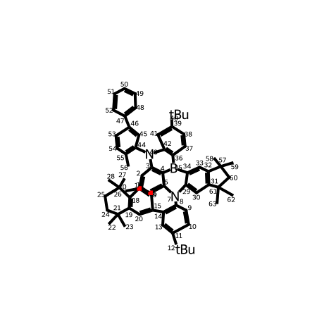 Cc1cc2c3c(c1)N(c1ccc(C(C)(C)C)cc1-c1ccc4c(c1)C(C)(C)CCC4(C)C)c1cc4c(cc1B3c1ccc(C(C)(C)C)cc1N2c1cc(-c2ccccc2)ccc1C)C(C)(C)CC4(C)C